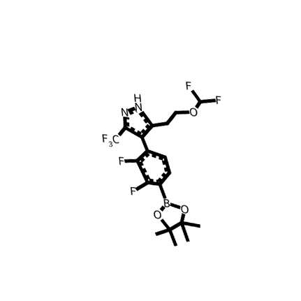 CC1(C)OB(c2ccc(-c3c(C(F)(F)F)n[nH]c3CCOC(F)F)c(F)c2F)OC1(C)C